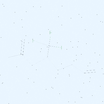 C=CCCC([CH]C(=C)C)C(F)(F)F